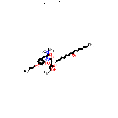 CCCCCCCC(=O)CCCCCCC=C[C@H](C(=O)N[C@@H](Cc1ccc(OCCCC)cc1)C(=O)N(C)C)[C@@](O)(CCC)C(=O)O